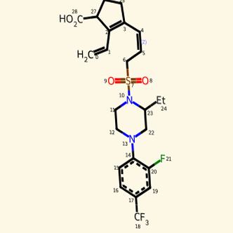 C=CC1=C(/C=C\CS(=O)(=O)N2CCN(c3ccc(C(F)(F)F)cc3F)CC2CC)CCC1C(=O)O